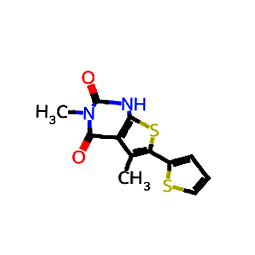 Cc1c(-c2cccs2)sc2[nH]c(=O)n(C)c(=O)c12